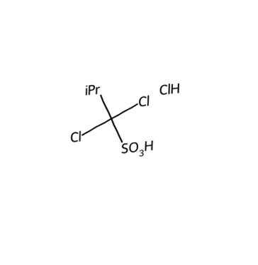 CC(C)C(Cl)(Cl)S(=O)(=O)O.Cl